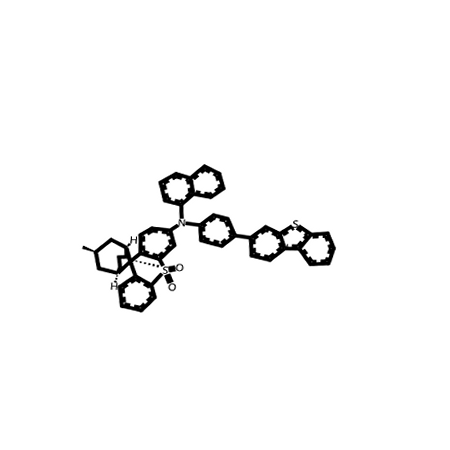 C[C@H]1C[C@@H]2C[C@@H](C)C[C@H](C1)C21c2ccccc2S(=O)(=O)c2cc(N(c3ccc(-c4ccc5c(c4)sc4ccccc45)cc3)c3cccc4ccccc34)ccc21